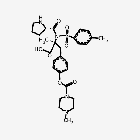 Cc1ccc(S(=O)(=O)N(C(=O)[C@@H]2CCCN2)[C@@](C)(Cc2ccc(OC(=O)N3CCN(C)CC3)cc2)C(=O)O)cc1